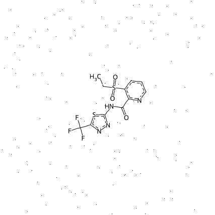 CCS(=O)(=O)c1cccnc1C(=O)Nc1nnc(C(F)(F)F)s1